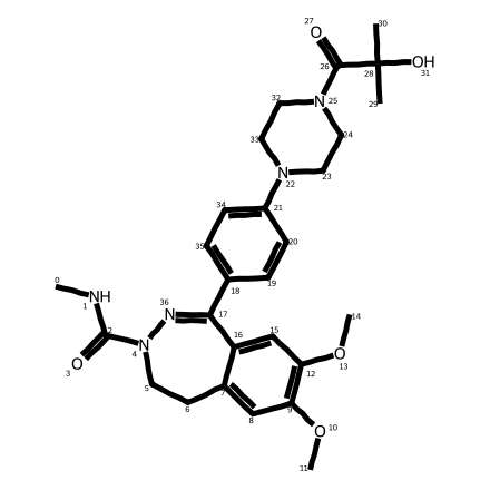 CNC(=O)N1CCc2cc(OC)c(OC)cc2C(c2ccc(N3CCN(C(=O)C(C)(C)O)CC3)cc2)=N1